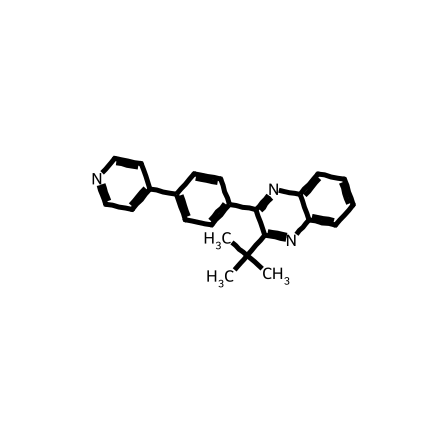 CC(C)(C)c1nc2ccccc2nc1-c1ccc(-c2ccncc2)cc1